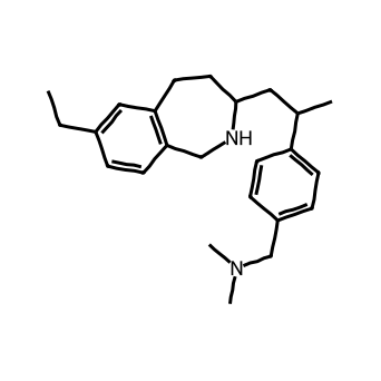 CCc1ccc2c(c1)CCC(CC(C)c1ccc(CN(C)C)cc1)NC2